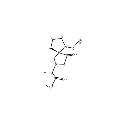 COC(=O)[C@H](C)N1CC(=O)[C@]2(CCCN2CC(C)C)C1